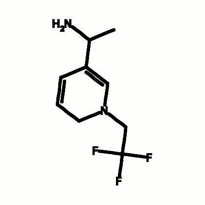 CC(N)C1=CN(CC(F)(F)F)CC=C1